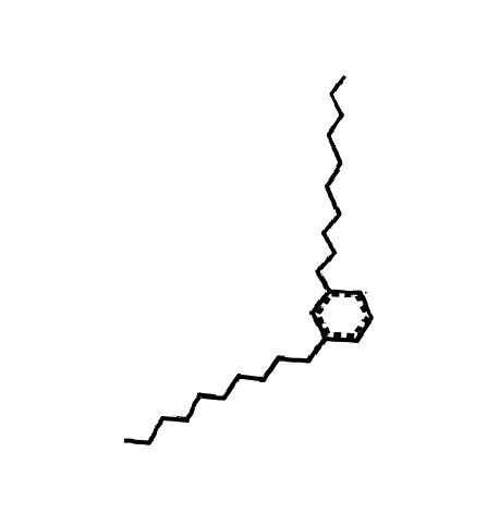 CCCCCCCCCCc1[c]ccc(CCCCCCCCCC)c1